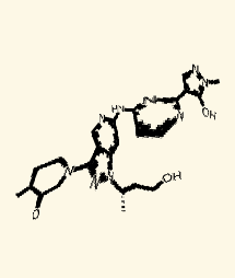 CC1CCN(c2nn([C@@H](C)CCO)c3cc(Nc4ccnc(-c5cnn(C)c5O)n4)ncc23)CC1=O